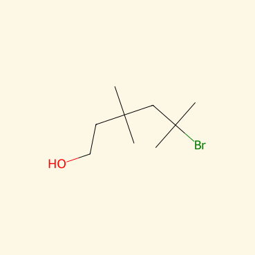 CC(C)(Br)CC(C)(C)CCO